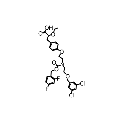 CCOC(Cc1ccc(OCCN(CCOCc2cc(Cl)cc(Cl)c2)C(=O)OCc2ccc(F)cc2F)cc1)C(=O)O